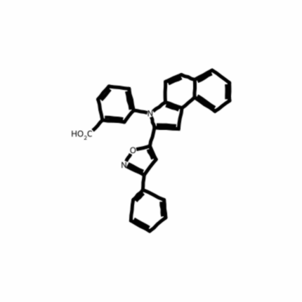 O=C(O)c1cccc(-n2c(-c3cc(-c4ccccc4)no3)cc3c4ccccc4ccc32)c1